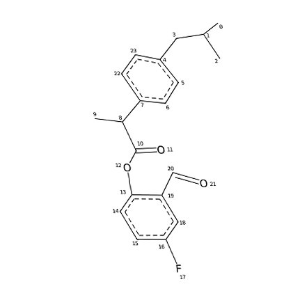 CC(C)Cc1ccc(C(C)C(=O)Oc2ccc(F)cc2C=O)cc1